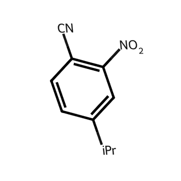 CC(C)c1ccc(C#N)c([N+](=O)[O-])c1